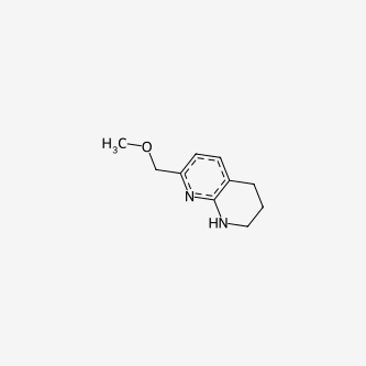 COCc1ccc2c(n1)NCCC2